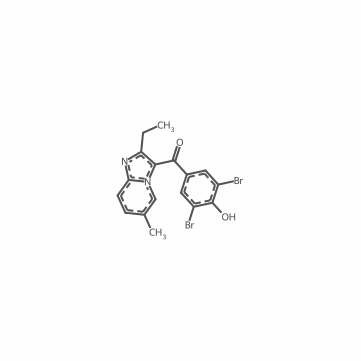 CCc1nc2ccc(C)cn2c1C(=O)c1cc(Br)c(O)c(Br)c1